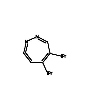 CC(C)C1=C(C(C)C)C=NN=C=C1